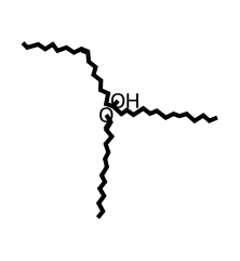 CCCCCCCC/C=C\CCCCCCCC(O)(CCCCCCCCCCCCCC)OC=CCCCCCCCCCCCC